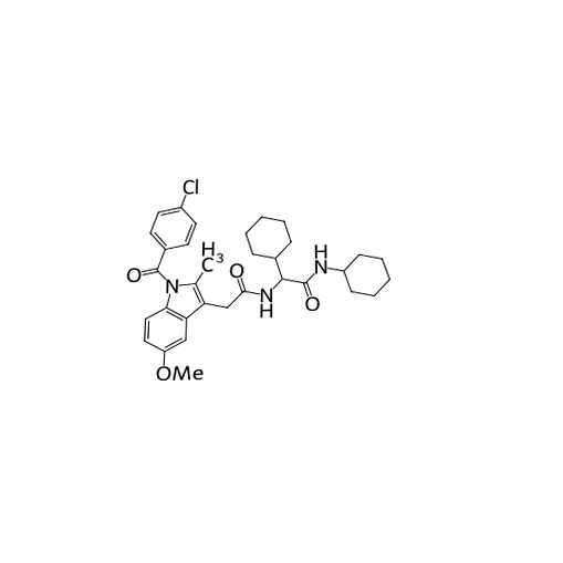 COc1ccc2c(c1)c(CC(=O)NC(C(=O)NC1CCCCC1)C1CCCCC1)c(C)n2C(=O)c1ccc(Cl)cc1